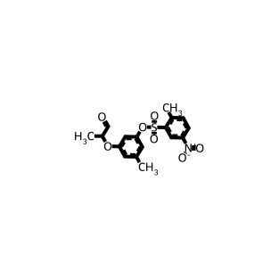 Cc1cc(OC(C)C=O)cc(OS(=O)(=O)c2cc([N+](=O)[O-])ccc2C)c1